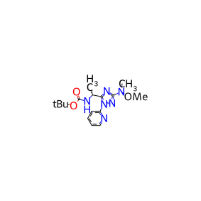 CON(C)c1nc([C@H](C)NC(=O)OC(C)(C)C)n(-c2ccccn2)n1